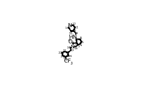 O=C1c2c(cccc2NCc2ccncc2)CN1CCc1cccc(C(F)(F)F)c1